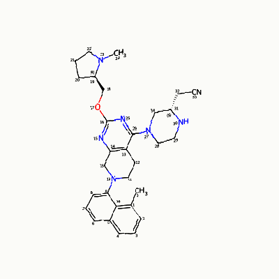 Cc1cccc2cccc(N3CCc4c(nc(OC[C@H]5CCCN5C)nc4N4CCN[C@@H](CC#N)C4)C3)c12